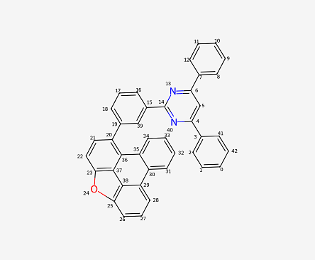 c1ccc(-c2cc(-c3ccccc3)nc(-c3cccc(-c4ccc5oc6cccc7c8ccccc8c4c5c67)c3)n2)cc1